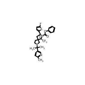 Cc1ccc(C(C)(C)N2CCC(CCc3ccc(F)s3)([C@@H](NC(=O)Oc3ccccc3)C(F)(F)F)C2)cn1